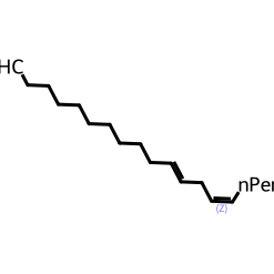 CCCCC/C=C\CC=CCCCCCCCCCC=O